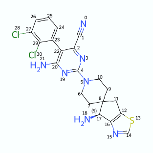 N#Cc1nc(N2CCC3(CC2)Cc2scnc2[C@H]3N)nc(N)c1-c1cccc(Cl)c1Cl